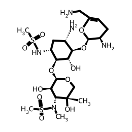 CN([C@@H]1[C@@H](O)[C@@H](O[C@@H]2[C@@H](O)[C@H](O[C@H]3OC(CN)=CC[C@H]3N)[C@@H](N)C[C@H]2NS(C)(=O)=O)OC[C@]1(C)O)S(C)(=O)=O